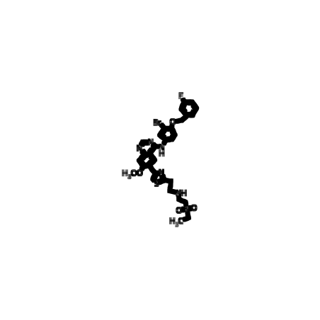 CCS(=O)(=O)CCNCCc1nc(-c2cc3c(Nc4ccc(OCc5cccc(F)c5)c(Br)c4)ncnc3cc2OC)cs1